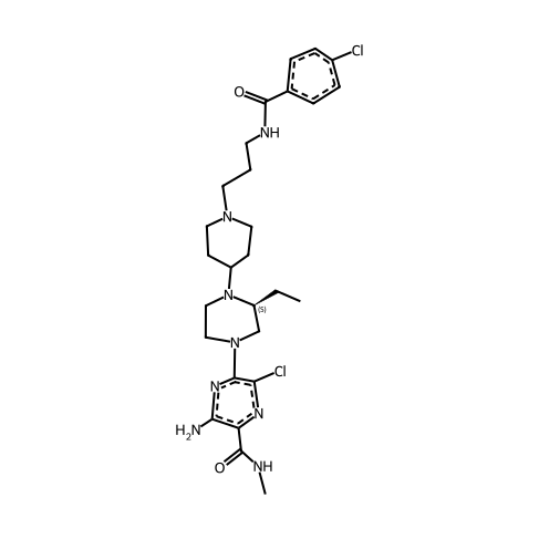 CC[C@H]1CN(c2nc(N)c(C(=O)NC)nc2Cl)CCN1C1CCN(CCCNC(=O)c2ccc(Cl)cc2)CC1